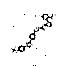 Cc1ccc(C(C)C)c(N2CCS/C2=N\C(=O)NCC(F)c2ccc(-c3ncn(-c4ccc(OC(F)(F)F)cc4)n3)cc2)c1